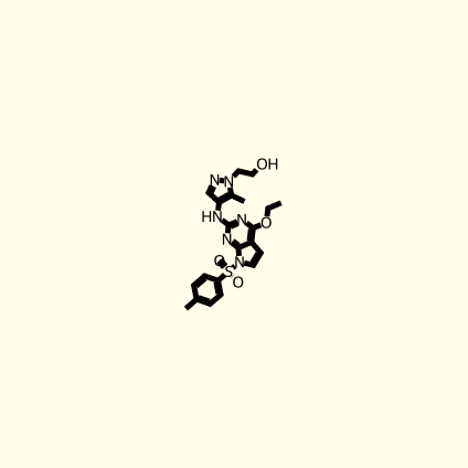 CCOc1nc(Nc2cnn(CCO)c2C)nc2c1ccn2S(=O)(=O)c1ccc(C)cc1